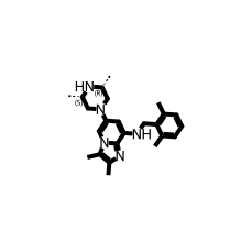 Cc1cccc(C)c1CNc1cc(N2C[C@@H](C)N[C@@H](C)C2)cn2c(C)c(C)nc12